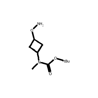 CN(C(=O)OC(C)(C)C)C1CC(ON)C1